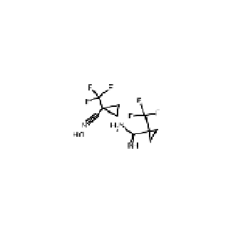 Cl.N#CC1(C(F)(F)F)CC1.N=C(N)C1(C(F)(F)F)CC1